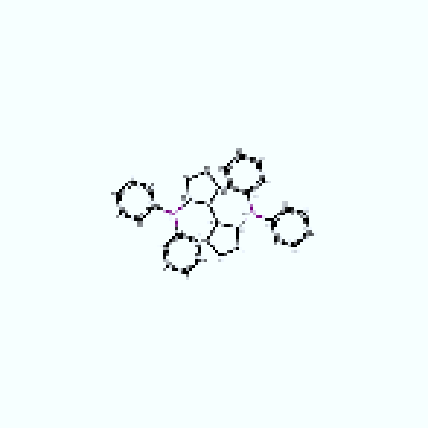 c1ccc(P(c2ccccc2)C2CCCC2C2CCC[C@H]2P(c2ccccc2)c2ccccc2)cc1